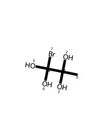 CC(O)(O)C(O)(O)Br